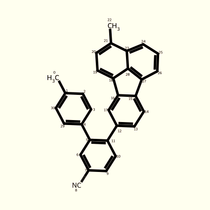 Cc1ccc(-c2cc(C#N)ccc2-c2ccc3c(c2)-c2ccc(C)c4cccc-3c24)cc1